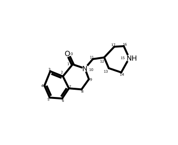 O=C1c2ccccc2CCN1CC1CCNCC1